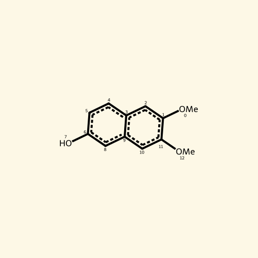 COc1cc2ccc(O)cc2cc1OC